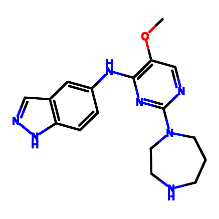 COc1cnc(N2CCCNCC2)nc1Nc1ccc2[nH]ncc2c1